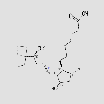 CCC1([C@@H](O)C/C=C/[C@@H]2[C@@H](CCCCCCC(=O)O)[C@H](F)C[C@H]2O)CCC1